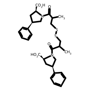 CC(CSSCC(C)C(=O)N1C[C@@H](c2ccccc2)C[C@H]1C(=O)O)C(=O)N1C[C@@H](c2ccccc2)C[C@H]1C(=O)O